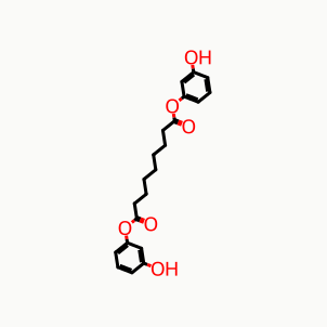 O=C(CCCCCCCC(=O)Oc1cccc(O)c1)Oc1cccc(O)c1